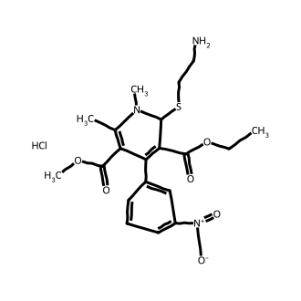 CCOC(=O)C1=C(c2cccc([N+](=O)[O-])c2)C(C(=O)OC)=C(C)N(C)C1SCCN.Cl